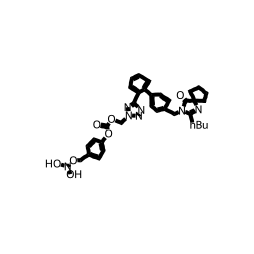 CCCCC1=NC2(CCCC2)C(=O)N1Cc1ccc(-c2ccccc2-c2nnn(COC(=O)Oc3ccc(CON(O)O)cc3)n2)cc1